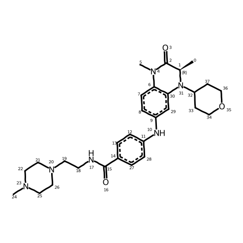 C[C@@H]1C(=O)N(C)c2ccc(Nc3ccc(C(=O)NCCN4CCN(C)CC4)cc3)cc2N1C1CCOCC1